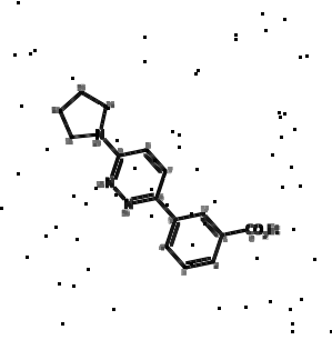 CCOC(=O)c1cccc(-c2ccc(N3CCCC3)nn2)c1